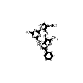 [C-]#[N+]c1cnn(-c2nc(O)nc(O)n2)c1/N=N/c1c(C)nn2c(-c3ccccc3)n[nH]c12